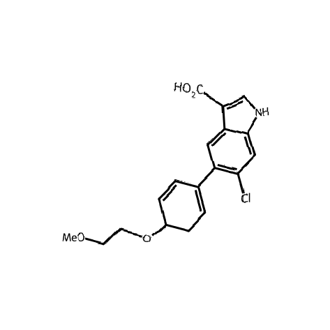 COCCOC1C=CC(c2cc3c(C(=O)O)c[nH]c3cc2Cl)=CC1